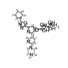 CN1CCN(c2ccc(-c3cncc(-c4nnc(-c5ccccc5)o4)n3)cn2)CC1.N.O=C(O)O.O=C(O)O